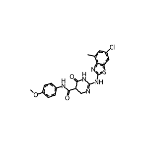 COc1ccc(NC(=O)C2CN=C(Nc3nc4c(C)cc(Cl)cc4s3)NC2=O)cc1